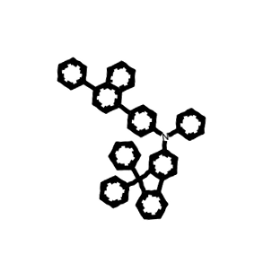 c1ccc(-c2ccc(-c3ccc(N(c4ccccc4)c4ccc5c(c4)C(c4ccccc4)(c4ccccc4)c4ccccc4-5)cc3)c3ccccc23)cc1